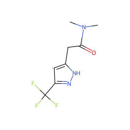 CN(C)C(=O)Cc1[c]c(C(F)(F)F)n[nH]1